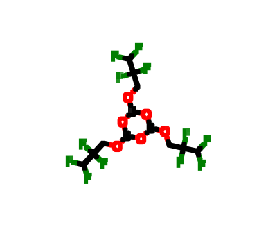 FC(F)C(F)(F)COB1OB(OCC(F)(F)C(F)F)OB(OCC(F)(F)C(F)F)O1